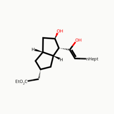 CCCCCCCC=C(O)[C@@H]1[C@@H]2C[C@H](CC(=O)OCC)C[C@@H]2C[C@H]1O